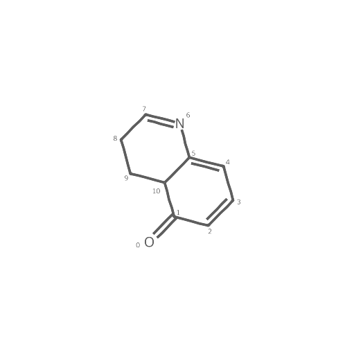 O=C1C=CC=C2N=CCCC12